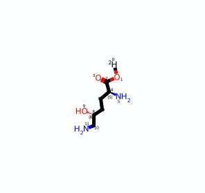 [2H]OC(=O)[C@@H](N)CC[C@@H](O)CN